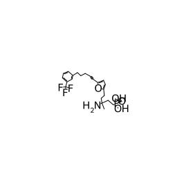 CC(N)(CCc1ccc(C#CCCCc2cccc(C(F)(F)F)c2)o1)CCP(=O)(O)O